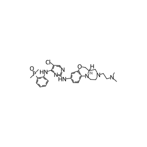 CN(C)CCN1CCN2c3ccc(Nc4ncc(Cl)c(Nc5ccccc5P(C)(C)=O)n4)cc3OC[C@@H]2C1